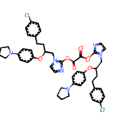 O=C(Oc1nccn1CC(CCc1ccc(Cl)cc1)Oc1ccc(N2CCCC2)cc1)C(=O)Oc1nccn1CC(CCc1ccc(Cl)cc1)Oc1ccc(N2CCCC2)cc1